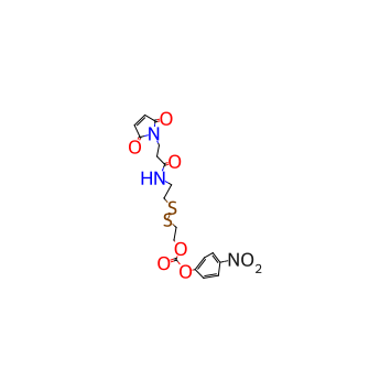 O=C(CCN1C(=O)C=CC1=O)NCCSSCCOC(=O)Oc1ccc([N+](=O)[O-])cc1